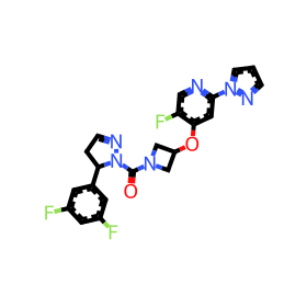 O=C(N1CC(Oc2cc(-n3cccn3)ncc2F)C1)N1N=CCC1c1cc(F)cc(F)c1